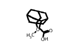 COC12CC3CC(C1)C(CC(=O)O)C(C3)C2